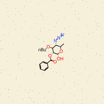 CCCCOC1[C@H](N=[N+]=[N-])C(C)O[C@H](O)[C@@H]1OC(=O)c1ccccc1